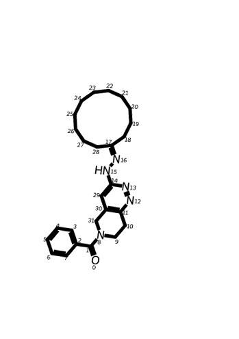 O=C(c1ccccc1)N1CCc2nnc(NN=C3CCCCCCCCCCC3)cc2C1